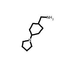 NCC1CCC(N2CCCC2)CC1